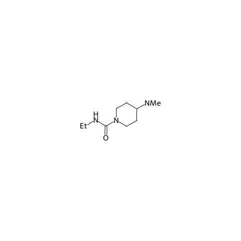 CCNC(=O)N1CCC(NC)CC1